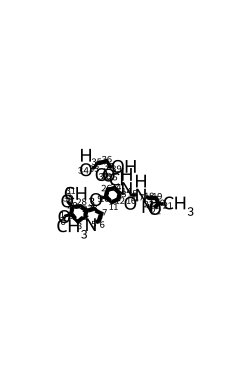 COc1cc2nccc(Oc3ccc(NC(=O)Nc4cc(C)on4)c(Cl)c3)c2cc1OC.O=C(O)/C=C\C(=O)O